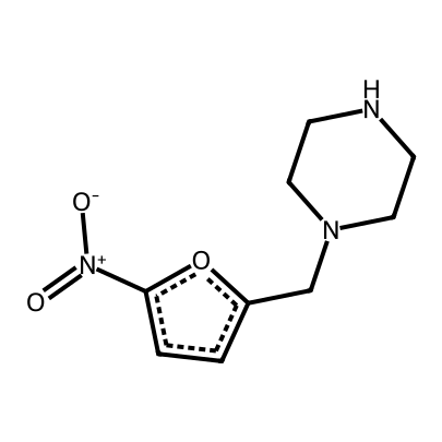 O=[N+]([O-])c1ccc(CN2CCNCC2)o1